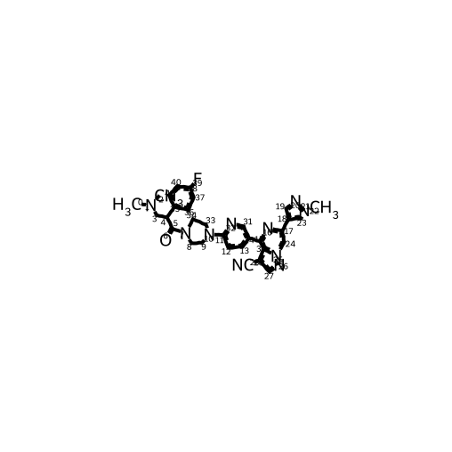 CN(C)CC(C(=O)N1CCN(c2ccc(-c3nc(-c4cnn(C)c4)cn4ncc(C#N)c34)cn2)CC1)c1ccc(F)cc1